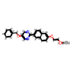 CCCCOCCOc1ccc2cc(-c3ncc(OCc4ccccc4)cn3)ccc2c1